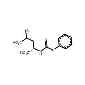 CC(C)(C)C(C[C@H](NC(=O)Oc1ccccc1)C(=O)O)C(=O)O